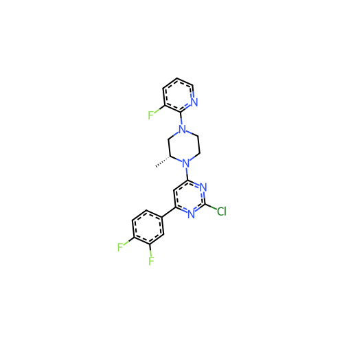 C[C@@H]1CN(c2ncccc2F)CCN1c1cc(-c2ccc(F)c(F)c2)nc(Cl)n1